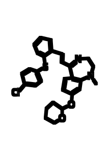 CN1CCN=C(C=Cc2ccccc2Sc2ccc(Cl)cc2)c2ccc(OC3CCCCO3)cc21